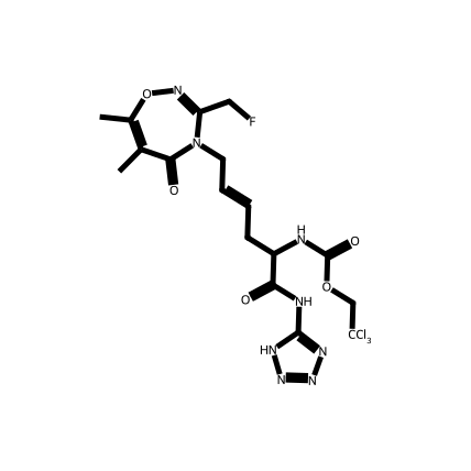 CC1=C(C)C(=O)N(CC=CCC(NC(=O)OCC(Cl)(Cl)Cl)C(=O)Nc2nnn[nH]2)C(CF)=NO1